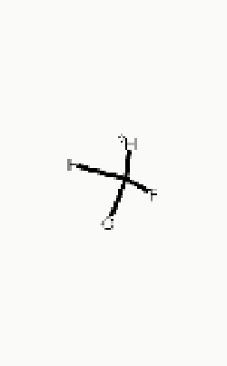 [2H]C([O])(F)F